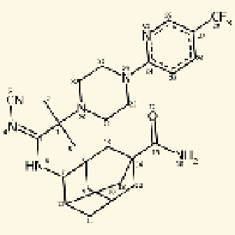 CC(C)(/C(=N\C#N)NC1C2CC3CC1CC(C(N)=O)(C3)C2)N1CCN(c2ccc(C(F)(F)F)cn2)CC1